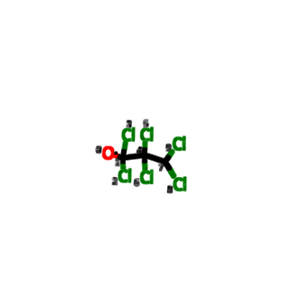 [O]C(Cl)(Cl)C(Cl)(Cl)C(Cl)Cl